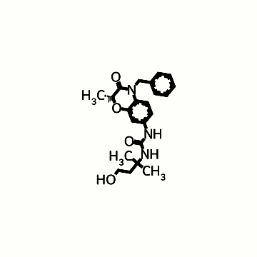 C[C@H]1Oc2cc(NC(=O)NC(C)(C)CCO)ccc2N(Cc2ccccc2)C1=O